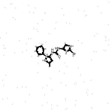 Cc1cc(NC(=O)Nc2cnc(Br)s2)n(-c2ccccc2)n1